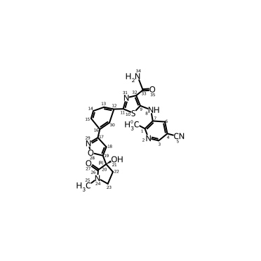 Cc1ncc(C#N)cc1Nc1sc(-c2cccc(-c3cc([C@]4(O)CCN(C)C4=O)on3)c2)nc1C(N)=O